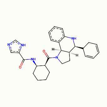 O=C(N[C@@H]1CCCC[C@@H]1C(=O)N1CC[C@@H]2[C@H](C3C=CC=CC3)Nc3ccccc3[C@@H]21)c1cnc[nH]1